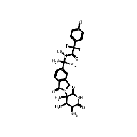 BC1C(=O)NC(=O)C(B)(N2Cc3cc(C(B)(B)N(B)C(=O)C(F)(F)c4ccc(Cl)cc4)ccc3C2=O)C1B